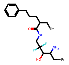 CC(C)CC(CCCc1ccccc1)C(=O)NCC(F)(F)C(O)C(N)CC(C)C